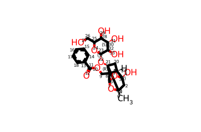 C[C@@]12C[C@@]3(O)OC(O1)C1(COC(=O)c4ccccc4)[C@H]3C[C@@]12O[C@@H]1OC(CO)C(O)[C@H](O)C1O